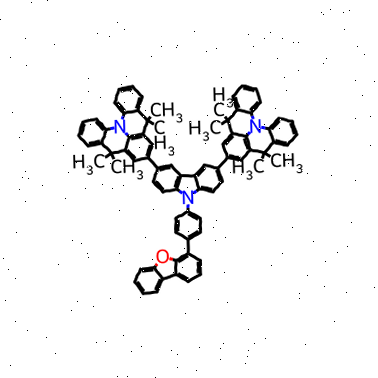 CC1(C)c2ccccc2N2c3ccccc3C(C)(C)c3cc(-c4ccc5c(c4)c4cc(-c6cc7c8c(c6)C(C)(C)c6ccccc6N8c6ccccc6C7(C)C)ccc4n5-c4ccc(-c5cccc6c5oc5ccccc56)cc4)cc1c32